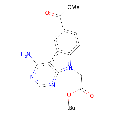 COC(=O)c1ccc2c(c1)c1c(N)ncnc1n2CC(=O)OC(C)(C)C